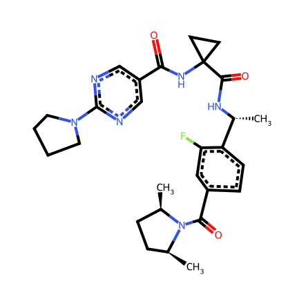 C[C@@H]1CC[C@H](C)N1C(=O)c1ccc([C@@H](C)NC(=O)C2(NC(=O)c3cnc(N4CCCC4)nc3)CC2)c(F)c1